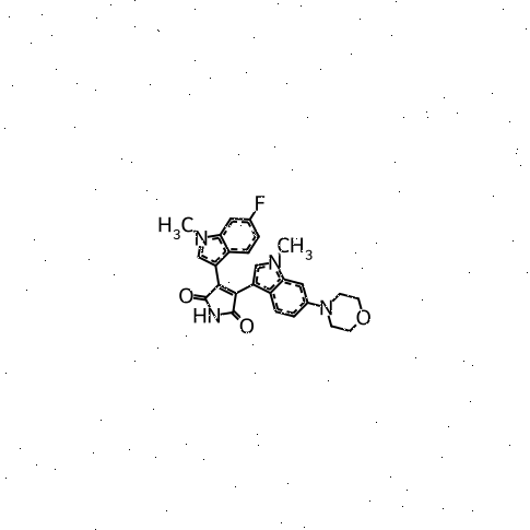 Cn1cc(C2=C(c3cn(C)c4cc(N5CCOCC5)ccc34)C(=O)NC2=O)c2ccc(F)cc21